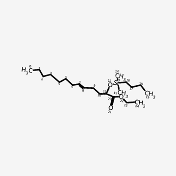 CCCCCCCC=CCCC(O[Si](C)(C)CCCC)C(=O)OCC